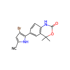 CC1(C)OC(=O)Nc2ccc(-c3[nH]c(C#N)cc3Br)cc21